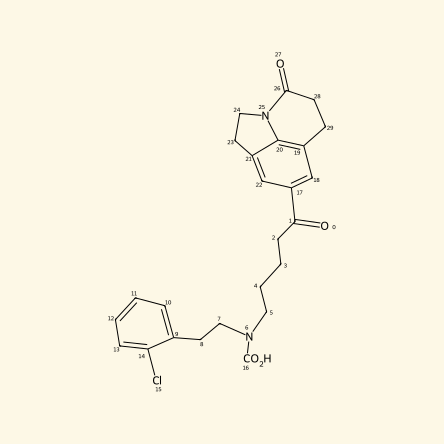 O=C(CCCCN(CCc1ccccc1Cl)C(=O)O)c1cc2c3c(c1)CCN3C(=O)CC2